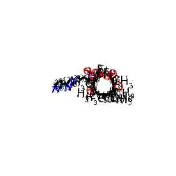 CC[C@H]1OC(=O)[C@H](C)C(=O)[C@H](C)[C@@H](C)[C@](C)(OC)C[C@@H](C)C(=O)[C@H](C)[C@H]2N(CCCCn3cnc(-c4cccnc4)c3)C(=O)O[C@]12C